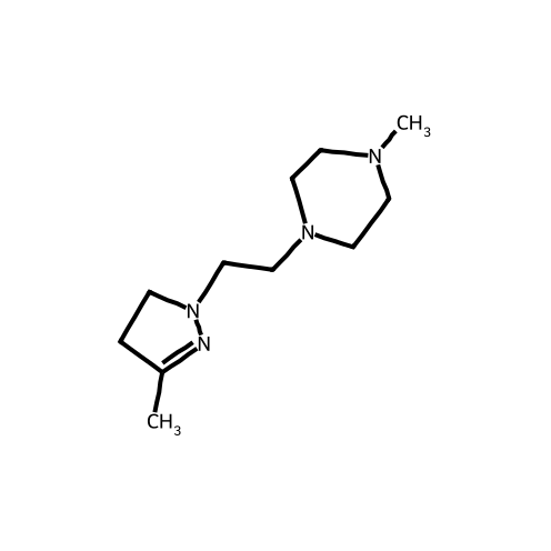 CC1=NN(CCN2CCN(C)CC2)CC1